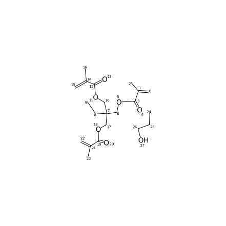 C=C(C)C(=O)OCC(CC)(COC(=O)C(=C)C)COC(=O)C(=C)C.CCCO